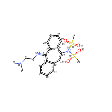 CN(C)CC/N=c1\c2ccccc2cc(N(S(C)(=O)=O)S(C)(=O)=O)c2ccccc12